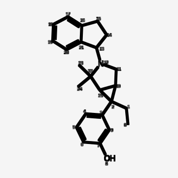 CCC1(c2cccc(O)c2)C2CN(C3CCc4ccccc43)C(C)(C)C21